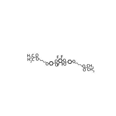 C=C(C)C(=O)OCCCCCOc1ccc(C(=O)Oc2c(F)c(F)c(OC(=O)c3ccc(OCCCCCOC(=O)C(=C)C)cc3)c(F)c2F)cc1